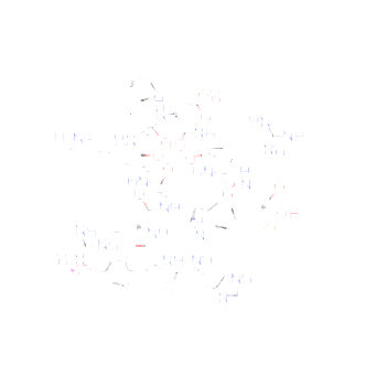 C[C@H](NC(=O)[C@@H](CC(=O)O)NC(=O)[C@H](Cc1ccccc1)NC(=O)[C@H](CCCCN)NC(=O)[C@H](Cc1c[nH]c2ccccc12)NC(=O)[C@@H](CCCNC(=N)N)NC(=O)[C@H](Cc1ccc(O)cc1)NC(=O)[C@@H](N)Cc1c[nH]cn1)C(=O)N[C@@H](CCCNC(=N)N)C(=O)N[C@@H](CS)C(=O)O